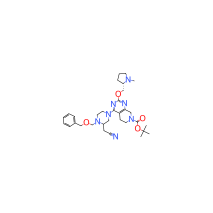 CN1CCC[C@H]1COc1nc2c(c(N3CCN(COCc4ccccc4)C(CC#N)C3)n1)CCN(C(=O)OC(C)(C)C)C2